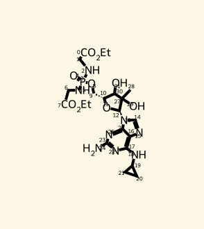 CCOC(=O)CNP(=O)(NCC(=O)OCC)OC[C@H]1O[C@@H](n2cnc3c(NC4CC4)nc(N)nc32)C(C)(O)C1O